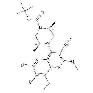 COc1nc2c(OC)c(Br)c(Cl)cc2c(N2C[C@H](C)N(C(=O)OC(C)(C)C)C[C@@H]2C)c1C#N